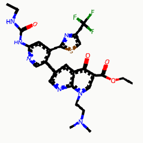 CCNC(=O)Nc1cc(-c2nc(C(F)(F)F)cs2)c(-c2cnc3c(c2)c(=O)c(C(=O)OCC)cn3CCN(C)C)cn1